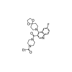 CCC(=O)N1CCN(C(=O)c2cnc3ccc(F)cc3c2N2CCC3(CC2)OCCO3)CC1